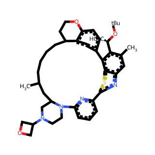 Cc1cc2nc3sc2c(c1[C@H](OC(C)(C)C)C(=O)O)-c1ccc2c(c1)C(CCCCC(C)CC1CN(C4COC4)CCN1c1cccc-3n1)CCO2